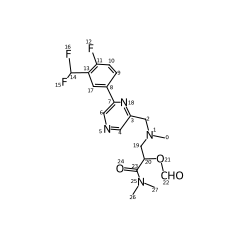 CN(Cc1cncc(-c2ccc(F)c(C(F)F)c2)n1)CC(OC=O)C(=O)N(C)C